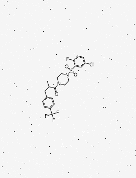 CC(Cc1ccc(C(F)(F)F)cc1)C(=O)N1CCN(S(=O)(=O)c2cc(Cl)ccc2F)CC1